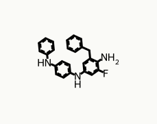 Nc1c(F)cc(Nc2ccc(Nc3ccccc3)cc2)cc1Cc1ccccc1